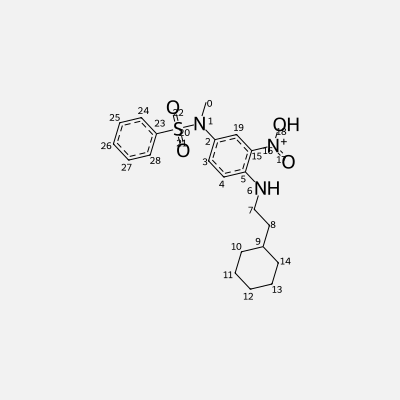 CN(c1ccc(NCCC2CCCCC2)c([N+](=O)O)c1)S(=O)(=O)c1ccccc1